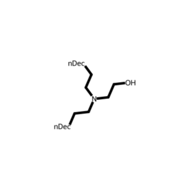 CCCCCCCCCCCCN(CCO)CCCCCCCCCCCC